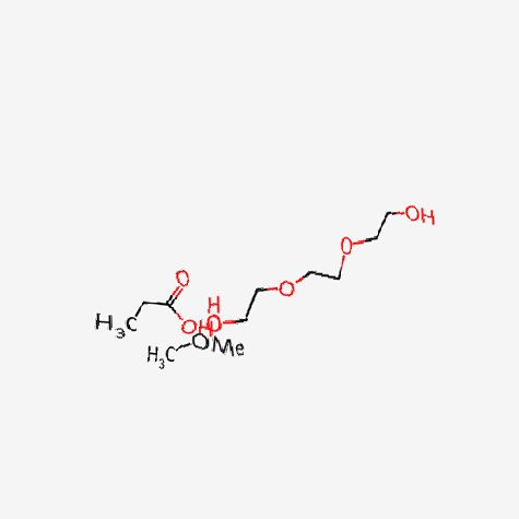 CCC(=O)O.COC.OCCOCCOCCO